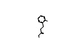 N[C@H](Cc1ccccc1Cl)C(=O)CCl